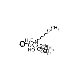 CCOCCCCCCN1C[C@H](O[Si](C)(C)C(C)(C)C)[C@@H](O)[C@@H](OCc2ccccc2)[C@H]1C